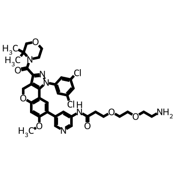 COc1cc2c(cc1-c1cncc(NC(=O)CCOCCOCCN)c1)-c1c(c(C(=O)N3CCOCC3(C)C)nn1-c1cc(Cl)cc(Cl)c1)CO2